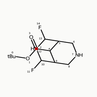 CC(C)(C)OC(=O)C1C2CNCC1C(F)NC2F